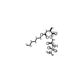 C=C(CC(=O)OCCCCCC)C(=O)OCC(=O)NS(=O)(=O)N(C)C